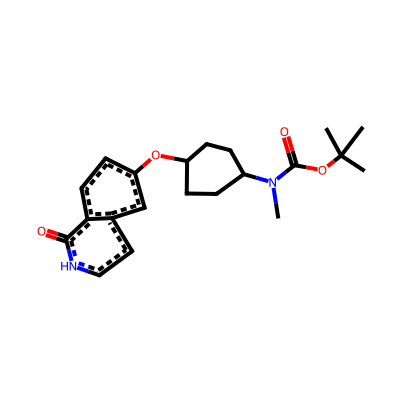 CN(C(=O)OC(C)(C)C)C1CCC(Oc2ccc3c(=O)[nH]ccc3c2)CC1